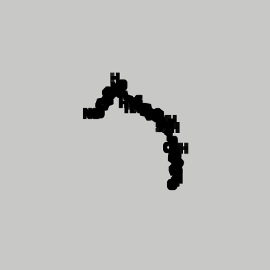 N#COc1ccc2c(c1)Cc1cc(NC(=O)OCCCNC(=S)Nc3ccc4c(c3)Cc3cc(NC(=S)NCCCOC(=O)Nc5ccc6c(c5)Cc5cc(N=C=O)ccc5-6)ccc3-4)ccc1-2